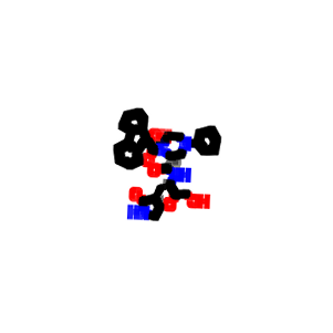 O=C1NCC[C@@H]1C[C@H](NC(=O)[C@H]1CN(c2ccccc2)CCN1C(=O)C1(O)c2ccccc2-c2ccccc21)C(=O)CO